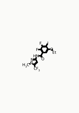 CCOc1cc(C(=O)Nc2cc(C(F)(F)F)n(C)n2)c(F)c(F)c1I